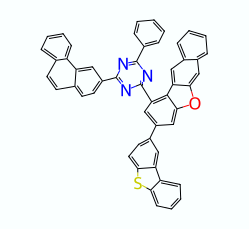 c1ccc(-c2nc(-c3ccc4ccc5ccccc5c4c3)nc(-c3cc(-c4ccc5sc6ccccc6c5c4)cc4oc5cc6ccccc6cc5c34)n2)cc1